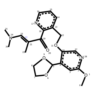 COc1cc(C2OCCO2)c(OCc2cccnc2C(=O)/C(C)=C/N(C)C)cn1